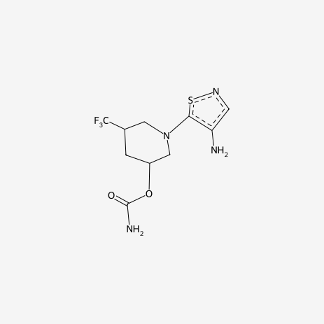 NC(=O)OC1CC(C(F)(F)F)CN(c2sncc2N)C1